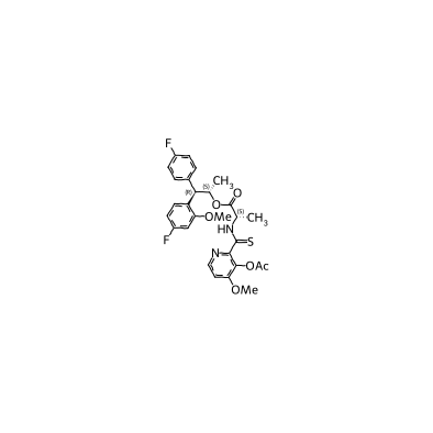 COc1cc(F)ccc1[C@@H](c1ccc(F)cc1)[C@H](C)OC(=O)[C@H](C)NC(=S)c1nccc(OC)c1OC(C)=O